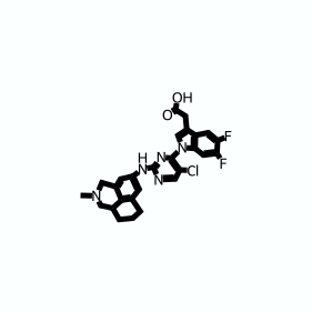 CN1Cc2cc(Nc3ncc(Cl)c(-n4cc(CC(=O)O)c5cc(F)c(F)cc54)n3)cc3c2C(CCC3)C1